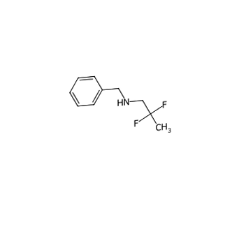 CC(F)(F)CNCc1ccccc1